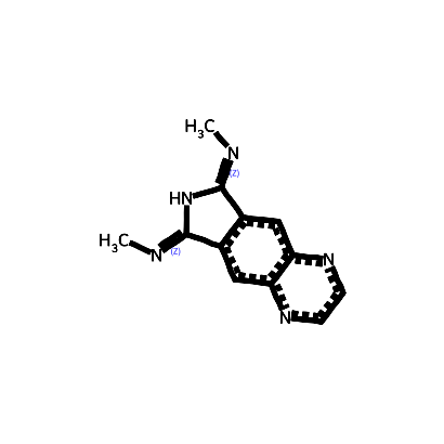 C/N=C1\N/C(=N\C)c2cc3nccnc3cc21